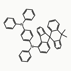 CC1(C)c2ccccc2C2(c3ccccc3-c3c(N(c4ccccc4)c4ccc(N(c5ccccc5)c5ccccc5)cc4)cccc32)c2ccccc21